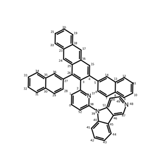 c1cc(-c2c(-c3ccc4ccccc4c3)cc3cc4ccccc4cc3c2-c2ccc3ccccc3c2)nc(-n2c3ccccc3c3cnccc32)c1